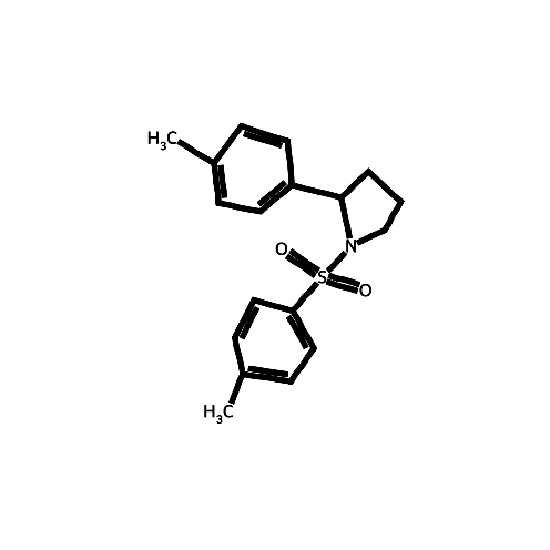 Cc1ccc(C2CCCN2S(=O)(=O)c2ccc(C)cc2)cc1